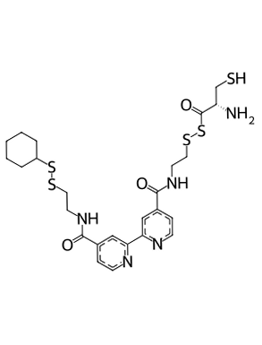 N[C@@H](CS)C(=O)SSCCNC(=O)c1ccnc(-c2cc(C(=O)NCCSSC3CCCCC3)ccn2)c1